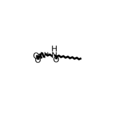 CCCCCCCCCCCC(=O)NCCCC[N+](C)(C)C(C)(C)C(=O)[O-]